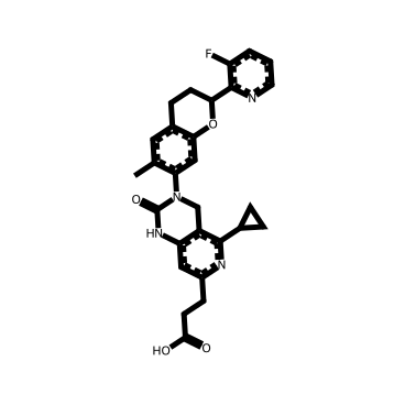 Cc1cc2c(cc1N1Cc3c(cc(CCC(=O)O)nc3C3CC3)NC1=O)OC(c1ncccc1F)CC2